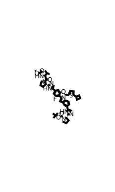 COC(=O)N[C@H](C(=O)N1CCC[C@H]1c1ncc(-c2cc(F)c3c(c2)OC(c2ccc(C4CCC4)s2)n2c-3cc3cc(-c4cnc([C@@H]5CCCN5C(=O)OC(C)(C)C)[nH]4)ccc32)[nH]1)C(C)C